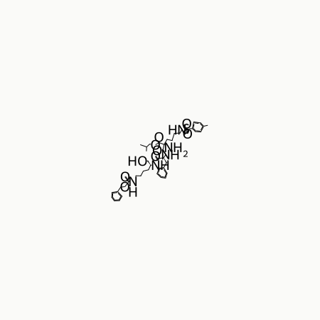 Cc1ccc(S(=O)(=O)NCCCC[C@@](N)(C(=O)N[C@@H](Cc2ccccc2)C(=O)N[C@H](CO)CCCCNC(=O)OCc2ccccc2)C(=O)OCC(C)C)cc1